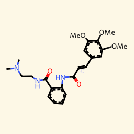 COc1cc(/C=C/C(=O)Nc2ccccc2C(=O)NCCN(C)C)cc(OC)c1OC